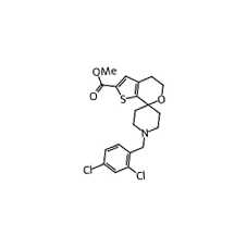 COC(=O)c1cc2c(s1)C1(CCN(Cc3ccc(Cl)cc3Cl)CC1)OCC2